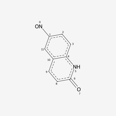 O=Nc1ccc2[nH]c(=O)ccc2c1